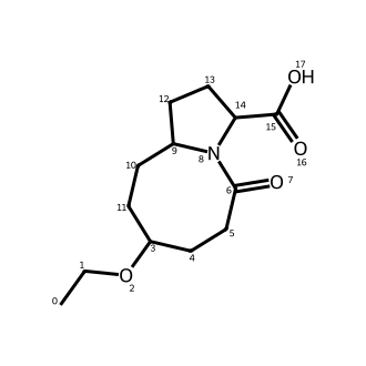 CCOC1CCC(=O)N2C(CC1)CCC2C(=O)O